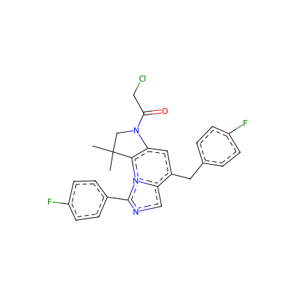 CC1(C)CN(C(=O)CCl)c2cc(Cc3ccc(F)cc3)c3cnc(-c4ccc(F)cc4)n3c21